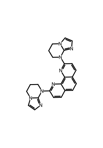 c1cn2c(n1)N(c1ccc3ccc4ccc(N5CCCn6ccnc65)nc4c3n1)CCC2